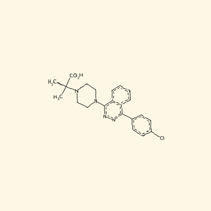 CC(C)(C(=O)O)N1CCN(c2nnc(-c3ccc(Cl)cc3)c3ccccc23)CC1